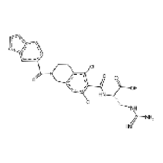 N=C(N)NC[C@H](NC(=O)c1c(Cl)cc2c(c1Cl)CCN(C(=O)c1ccc3ccoc3c1)C2)C(=O)O